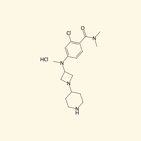 CN(C)C(=O)c1ccc(N(C)C2CN(C3CCNCC3)C2)cc1Cl.Cl